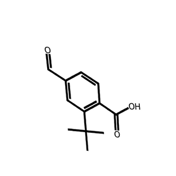 CC(C)(C)c1cc(C=O)ccc1C(=O)O